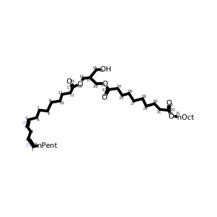 CCCCC/C=C\C/C=C\CCCCCCCC(=O)OCC(CO)COC(=O)CCCCCCCCC(=O)OCCCCCCCC